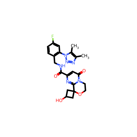 Cc1nnn(-c2cc(F)ccc2CNC(=O)c2cc(=O)n3c(n2)C2(CC(O)C2)OCC3)c1C